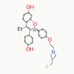 CCC1=C(c2ccc(O)cc2)[C@H](c2ccc(OCCN3CC(CF)C3)cc2)Oc2cc(O)ccc21